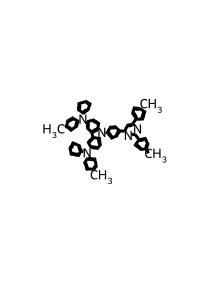 Cc1ccc(-c2cc(-c3ccc(-n4c5ccc(N(c6ccccc6)c6ccc(C)cc6)cc5c5cc(N(c6ccccc6)c6ccc(C)cc6)ccc54)cc3)nc(-c3ccc(C)cc3)n2)cc1